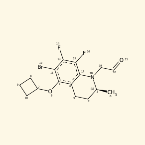 C[C@H]1CCc2c(OC3CCC3)c(Br)c(F)c(F)c2N1CC=O